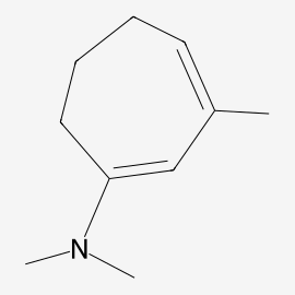 CC1=CCCCC(N(C)C)=C1